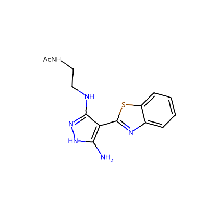 CC(=O)NCCNc1n[nH]c(N)c1-c1nc2ccccc2s1